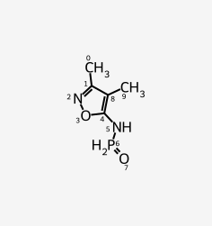 Cc1noc(N[PH2]=O)c1C